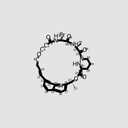 CC(C)[C@@H]1NC(=O)CCOCC/C=C/c2ccc3ccc(nc3c2)[C@@H](C)OC(=O)[C@@H]2CCCN(N2)C(=O)[C@H](C)NC1=O